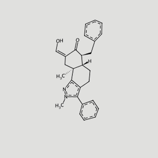 Cn1nc2c(c1-c1ccccc1)CC[C@H]1[C@H](Cc3ccccc3)C(=O)/C(=C\O)C[C@]21C